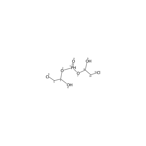 O=[PH](OC(O)CCl)OC(O)CCl